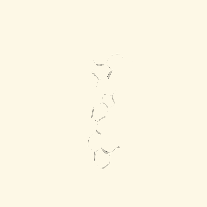 Cc1c(C)n(Cc2ccc(O[C@@H](C)C(=O)O)c(Cl)c2)c2ccc(C(=O)N[C@@H](C)c3cccc(C(C)C)c3)cc12